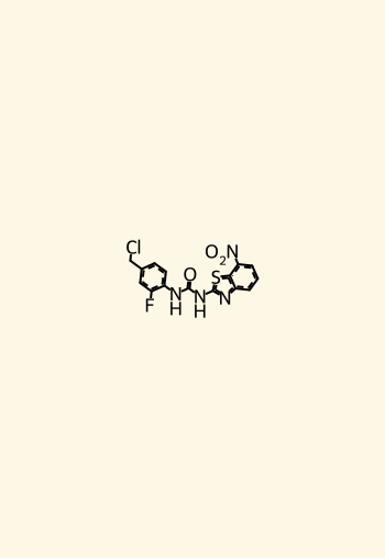 O=C(Nc1nc2cccc([N+](=O)[O-])c2s1)Nc1ccc(CCl)cc1F